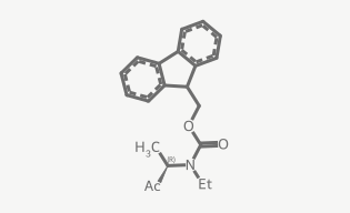 CCN(C(=O)OCC1c2ccccc2-c2ccccc21)[C@H](C)C(C)=O